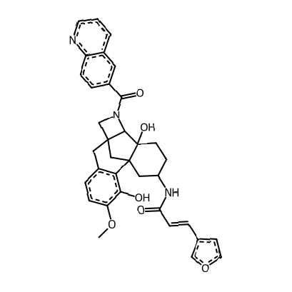 COc1ccc2c(c1O)C13CC(NC(=O)/C=C/c4ccoc4)CCC1(O)C1N(C(=O)c4ccc5ncccc5c4)CC1(C2)C3